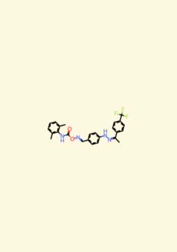 CC(=NNc1ccc(C=NOC(=O)Nc2c(C)cccc2C)cc1)c1ccc(C(F)(F)F)cc1